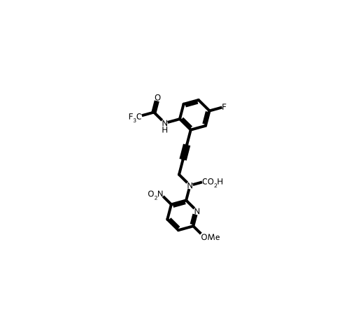 COc1ccc([N+](=O)[O-])c(N(CC#Cc2cc(F)ccc2NC(=O)C(F)(F)F)C(=O)O)n1